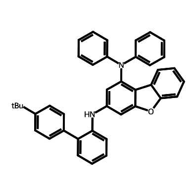 CC(C)(C)c1ccc(-c2ccccc2Nc2cc(N(c3ccccc3)c3ccccc3)c3c(c2)oc2ccccc23)cc1